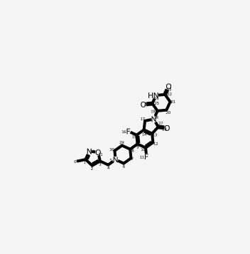 Cc1cc(CN2CCC(c3c(F)cc4c(c3F)CN(C3CCC(=O)NC3=O)C4=O)CC2)on1